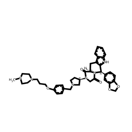 CN1CCN(CCCOc2ccc(CN3CC[C@@H](N4CC(=O)N5[C@H](c6ccc7c(c6)OCO7)c6[nH]c7ccccc7c6C[C@@H]5C4=O)C3)cc2)CC1